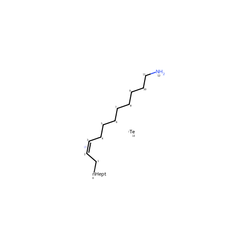 CCCCCCCC/C=C\CCCCCCCCN.[Te]